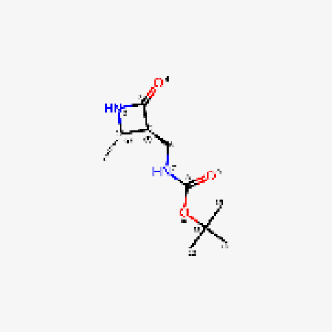 C[C@@H]1NC(=O)[C@H]1CNC(=O)OC(C)(C)C